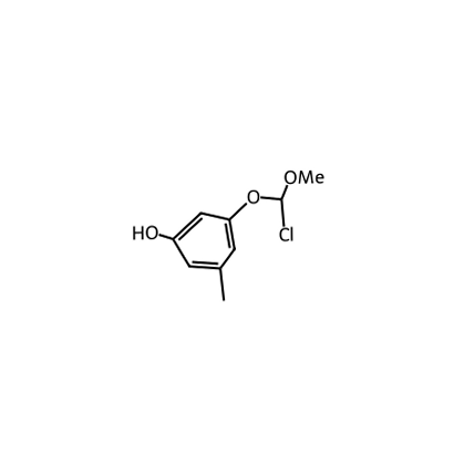 COC(Cl)Oc1cc(C)cc(O)c1